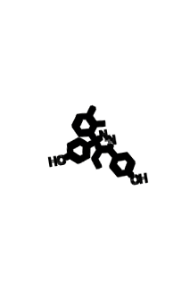 CCC1=C(c2ccc(O)cc2)N=NC1(c1ccc(O)cc1)c1cccc(C)c1C